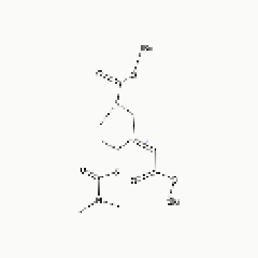 CN(C)C(=O)SC1CCN(C(=O)OC(C)(C)C)C/C1=C/C(=O)OC(C)(C)C